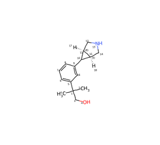 CC(C)(CO)c1cccc(C2[C@H]3CNC[C@@H]23)c1